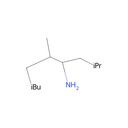 CCC(C)CC(C)C(N)CC(C)C